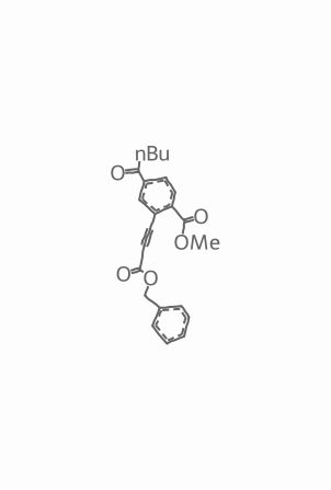 CCCCC(=O)c1ccc(C(=O)OC)c(C#CC(=O)OCc2ccccc2)c1